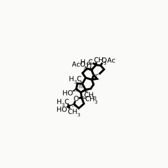 CC(=O)OC1CC[C@]23CC24CC[C@]2(C)C([C@@]5(C)CC[C@@H](C(C)(C)O)O5)[C@@H](O)C[C@@]2(C)C4C[C@H](OC(C)=O)[C@H]3C1(C)C